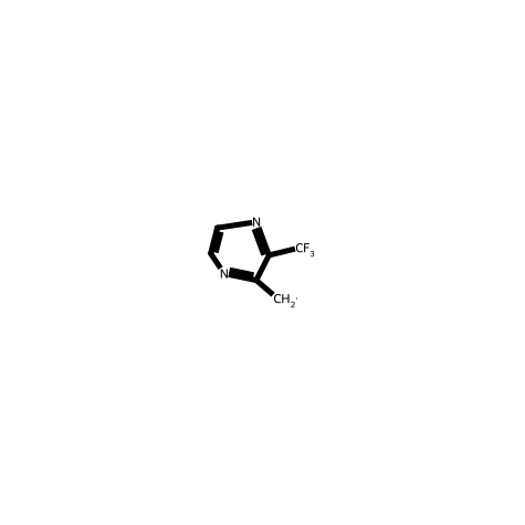 [CH2]c1nccnc1C(F)(F)F